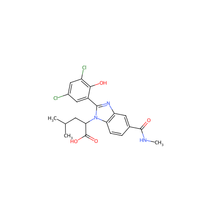 CNC(=O)c1ccc2c(c1)nc(-c1cc(Cl)cc(Cl)c1O)n2C(CC(C)C)C(=O)O